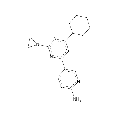 Nc1ncc(-c2cc(C3CCCCC3)nc(N3CC3)n2)cn1